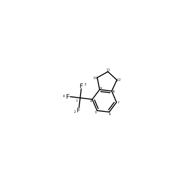 FC(F)(F)c1cccc2c1CC[CH]2